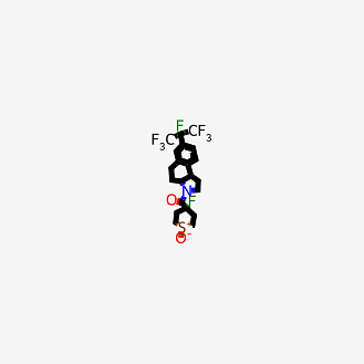 O=C(N1CCC2c3ccc(C(F)(C(F)(F)F)C(F)(F)F)cc3CCC21)C1(F)CC[S+]([O-])CC1